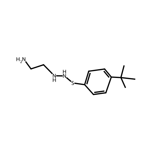 CC(C)(C)c1ccc(SNNCCN)cc1